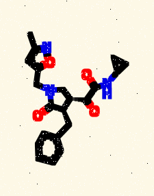 Cc1cc(CN2C[C@H](C(=O)C(=O)NC3CC3)[C@@H](Cc3ccccc3)C2=O)on1